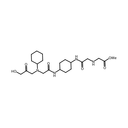 COC(=O)CNCC(=O)NC1CCC(NC(=O)CN(CC(=O)CO)C2CCCCC2)CC1